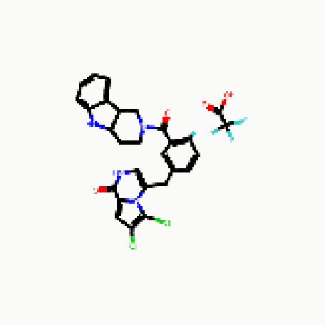 O=C(O)C(F)(F)F.O=C(c1cc(Cc2c[nH]c(=O)c3cc(Cl)c(Cl)n23)ccc1F)N1CCC2Nc3ccccc3C2C1